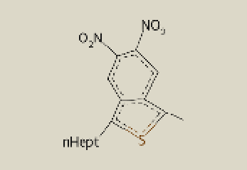 CCCCCCCc1sc(C)c2cc([N+](=O)[O-])c([N+](=O)[O-])cc12